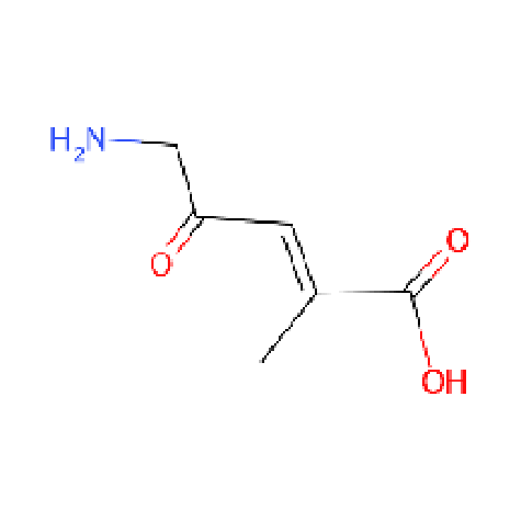 C/C(=C\C(=O)CN)C(=O)O